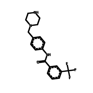 O=C(Nc1ccc(CN2CCNCC2)cc1)c1cccc(C(F)(F)F)c1